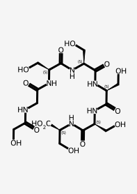 O=C(CO)NCC(=O)N[C@@H](CO)C(=O)N[C@@H](CO)C(=O)N[C@@H](CO)C(=O)N[C@@H](CO)C(=O)N[C@@H](CO)C(=O)O